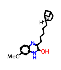 COc1ccc2c(c1)NC(O)C(CCCCC[C@H]1CCC3CC1C3)=N2